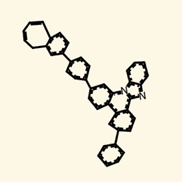 C1=CCc2cc(-c3ccc(-c4ccc5c6cc(-c7ccccc7)ccc6c6nc7ccccc7n6c5c4)cc3)ccc2C=C1